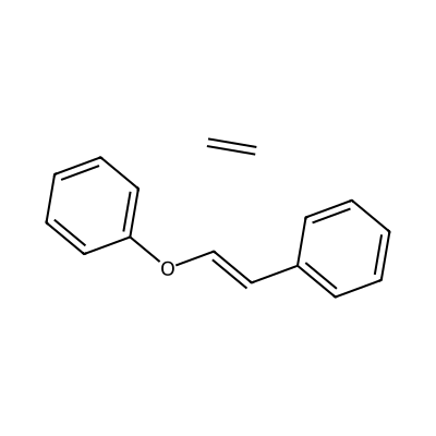 C(=Cc1ccccc1)Oc1ccccc1.C=C